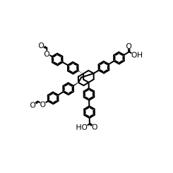 O=COc1ccc(-c2ccc([C@]34CC5(c6ccc(-c7ccc(C(=O)O)cc7)cc6)CC(c6ccc(-c7ccc(C(=O)O)cc7)cc6)(C[C@](c6ccc(-c7ccc(OC=O)cc7)cc6)(C5)C3)C4)cc2)cc1